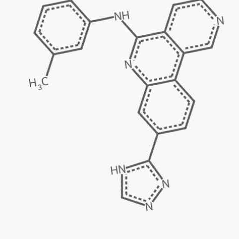 Cc1cccc(Nc2nc3cc(-c4nnc[nH]4)ccc3c3cnccc23)c1